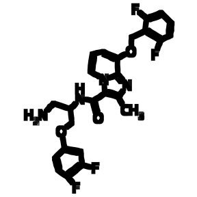 Cc1nc2c(OCc3c(F)cccc3F)cccn2c1C(=O)NC(CN)COc1ccc(F)c(F)c1